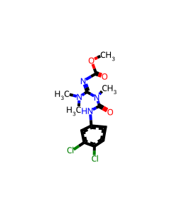 COC(=O)/N=C(/N(C)C)N(C)C(=O)Nc1ccc(Cl)c(Cl)c1